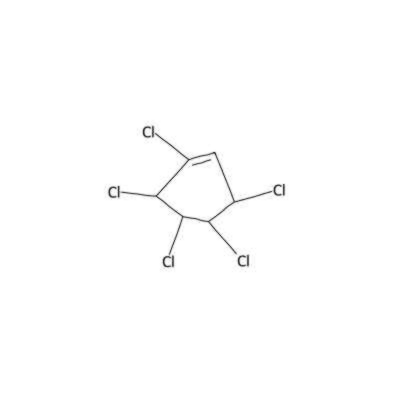 ClC1=CC(Cl)C(Cl)C(Cl)C1Cl